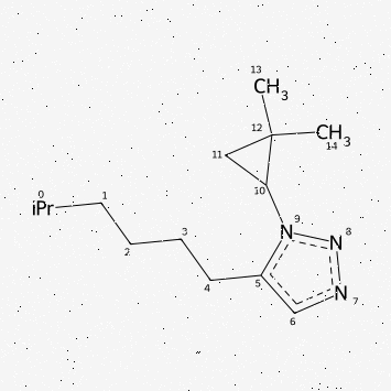 CC(C)CCCCc1cnnn1C1CC1(C)C